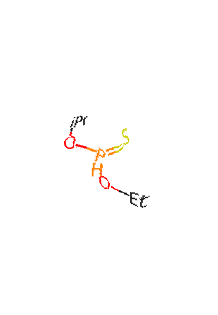 CCO[PH](=S)OC(C)C